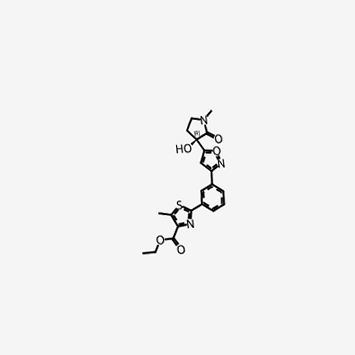 CCOC(=O)c1nc(-c2cccc(-c3cc([C@]4(O)CCN(C)C4=O)on3)c2)sc1C